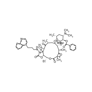 CC[C@H]1OC(=O)[C@@](C)(F)C(=O)[C@H](C)[C@@H](OC2O[C@H](C)C[C@H](N(C)C)[C@H]2OC(=O)c2ccccc2)[C@@](C)(OC)C[C@@H](C)C(=O)[C@H](C)[C@@H]2C1OC(=O)N2NCCCc1ccnc2ccccc12